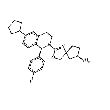 N[C@@H]1CC[C@]2(COC(N3CCc4cc(C5CCCC5)ccc4[C@@H]3c3ccc(F)cc3)=N2)C1